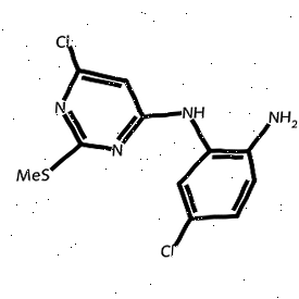 CSc1nc(Cl)cc(Nc2cc(Cl)ccc2N)n1